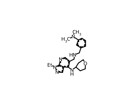 CCn1ncc2c(NC3CCOCC3)c(CNCc3cccc(N(C)C)c3)cnc21